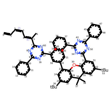 C=C/C=C\C=C(/C)c1nc(-c2ccccc2)nc(-c2cccc(-c3cc(C(C)(C)C)cc4c3Oc3c(-c5nc(-c6ccccc6)nc(-c6ccccc6)n5)cc(C(C)(C)C)cc3C4(C)C)c2)n1